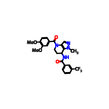 COc1ccc(C(=O)N2CCC(NC(=O)c3cccc(C(F)(F)F)c3)c3c2cnn3C)cc1OC